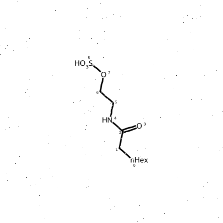 CCCCCCCC(=O)NCCOS(=O)(=O)O